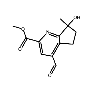 COC(=O)c1cc(C=O)c2c(n1)C(C)(O)CC2